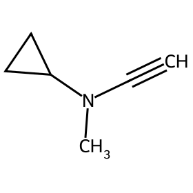 C#CN(C)C1CC1